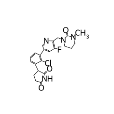 CN1CCCN(Cc2ncc(-c3cccc(C4CCC(=O)NC4=O)c3Cl)cc2F)C1=O